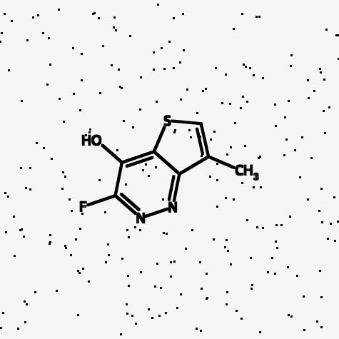 Cc1csc2c(O)c(F)nnc12